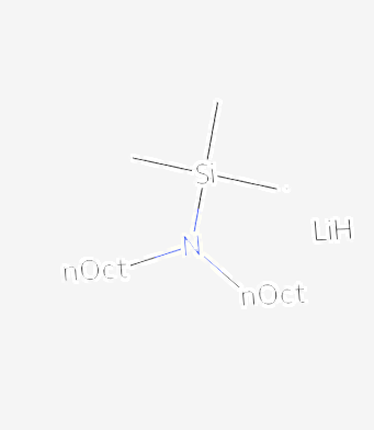 [CH2][Si](C)(C)N(CCCCCCCC)CCCCCCCC.[LiH]